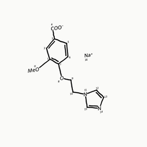 COc1cc(C(=O)[O-])ccc1OCCn1ccnc1.[Na+]